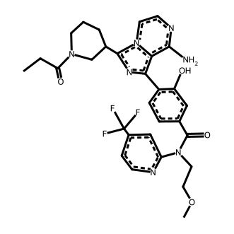 CCC(=O)N1CCCC(c2nc(-c3ccc(C(=O)N(CCOC)c4cc(C(F)(F)F)ccn4)cc3O)c3c(N)nccn23)C1